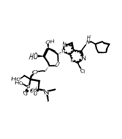 CN(C)C(=O)CC(CO)(OC[C@H]1O[C@@H](n2ncc3c(NC4CCCC4)nc(Cl)nc32)[C@H](O)[C@@H]1O)P(=O)(O)O